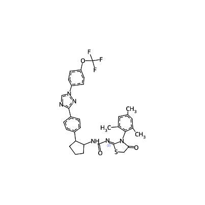 Cc1cc(C)c(N2C(=O)CS/C2=N\C(=O)NC2CCCC2c2ccc(-c3ncn(-c4ccc(OC(F)(F)F)cc4)n3)cc2)c(C)c1